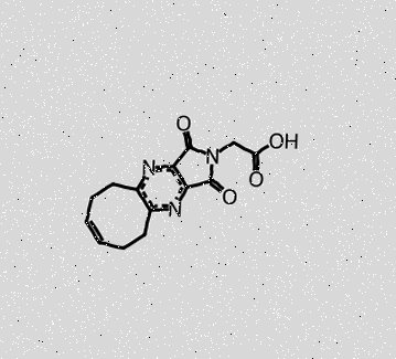 O=C(O)CN1C(=O)c2nc3c(nc2C1=O)CC/C=C\CC3